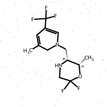 CC1=CC(C(F)(F)F)=CN(C[C@H]2NCC(F)(F)O[C@H]2C)C1